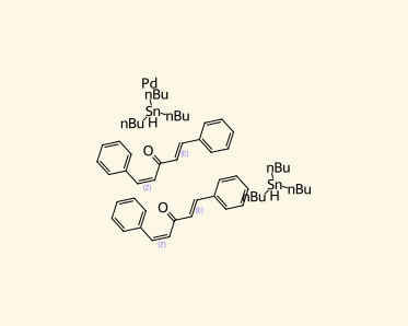 CCC[CH2][SnH]([CH2]CCC)[CH2]CCC.CCC[CH2][SnH]([CH2]CCC)[CH2]CCC.O=C(/C=C\c1ccccc1)/C=C/c1ccccc1.O=C(/C=C\c1ccccc1)/C=C/c1ccccc1.[Pd]